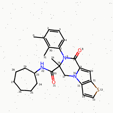 Cc1cccc(N2C(=O)c3cc4sccc4n3CC2(C)C(=O)NC2CCCCCC2)c1C